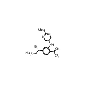 C=C(c1ccc([C@@H](CC)CC(=O)O)cc1Nc1cnc(OC)nc1)C(F)(F)F